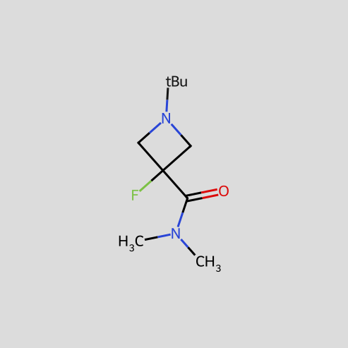 CN(C)C(=O)C1(F)CN(C(C)(C)C)C1